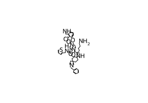 NCCCC[C@@H](NC1CCC2(CC1)CCN(Cc1ccccc1)C2)C(=O)N1CCN(C(=O)Oc2cccc(CN)c2Cl)C[C@H]1C(=O)NCc1cccs1